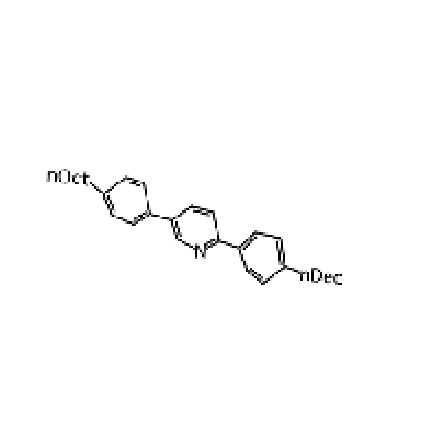 CCCCCCCCCCc1ccc(-c2ccc(-c3ccc(CCCCCCCC)cc3)cn2)cc1